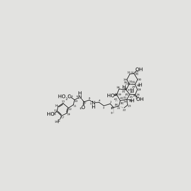 C[C@H](CCCNCC(=O)NC(Cc1ccc(O)c(F)c1)C(=O)O)[C@H]1CC[C@H]2[C@@H]3[C@H](O)C[C@@H]4C[C@H](O)CC[C@]4(C)[C@H]3C[C@H](O)[C@]12C